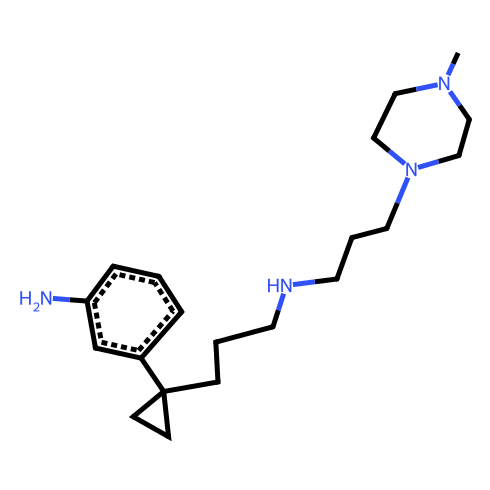 CN1CCN(CCCNCCCC2(c3cccc(N)c3)CC2)CC1